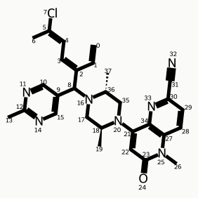 C=C/C(=C\C=C(/C)Cl)C(c1cnc(C)nc1)N1C[C@H](C)N(c2cc(=O)n(C)c3ccc(C#N)nc23)C[C@H]1C